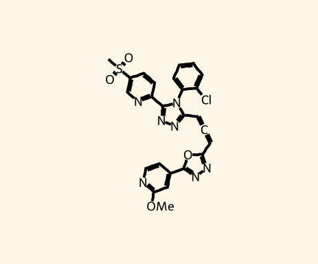 COc1cc(-c2nnc(C=C=Cc3nnc(-c4ccc(S(C)(=O)=O)cn4)n3-c3ccccc3Cl)o2)ccn1